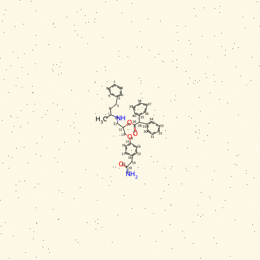 CC(CCc1ccccc1)NCC(COc1ccc(CC(N)=O)cc1)OC(=O)C(c1ccccc1)c1ccccc1